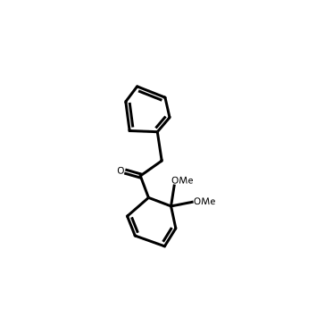 COC1(OC)C=CC=CC1C(=O)Cc1ccccc1